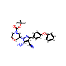 CC(C)(C)OC(=O)N1CCOCC(n2nc(-c3ccc(Oc4ccccc4)cc3)c(C#N)c2N)C1